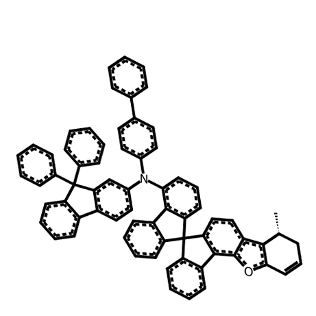 C[C@@H]1CC=Cc2oc3c4c(ccc3c21)C1(c2ccccc2-c2c(N(c3ccc(-c5ccccc5)cc3)c3ccc5c(c3)C(c3ccccc3)(c3ccccc3)c3ccccc3-5)cccc21)c1ccccc1-4